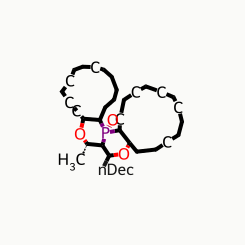 CCCCCCCCCCC1OC2CCCCCCCCCCCCC2P2(=O)C3CCCCCCCCCCCCC3O[C@@H](C)C12